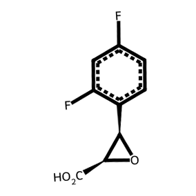 O=C(O)[C@@H]1O[C@@H]1c1ccc(F)cc1F